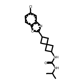 CC(C)NC(=O)NC1CC2(C1)CC(c1nc3cc(Cl)ccc3o1)C2